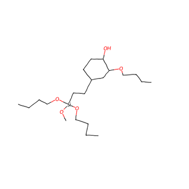 CCCCOC1CC(CC[Si](OC)(OCCCC)OCCCC)CCC1O